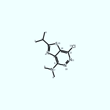 CC(C)c1nc2c(N(C)C)nnc(Cl)c2s1